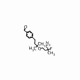 CC(C)(F)CCOC(C)(C)CCc1ccc(C=O)cc1